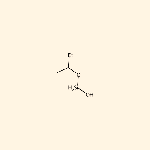 CCC(C)O[SiH2]O